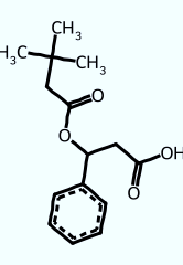 CC(C)(C)CC(=O)OC(CC(=O)O)c1ccccc1